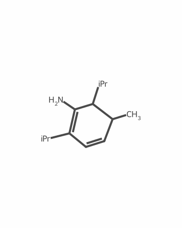 CC(C)C1=C(N)C(C(C)C)C(C)C=C1